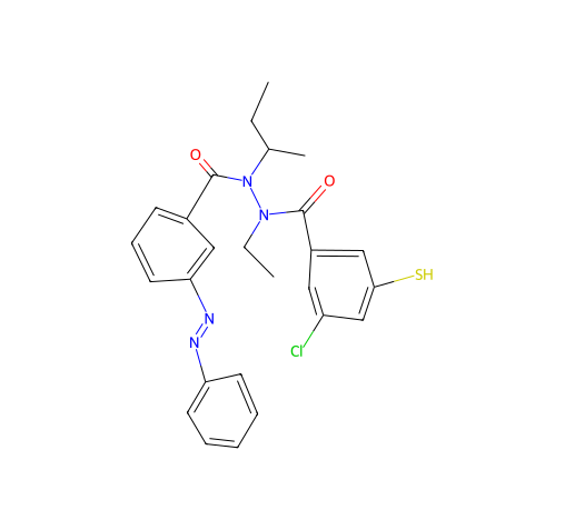 CCC(C)N(C(=O)c1cccc(N=Nc2ccccc2)c1)N(CC)C(=O)c1cc(S)cc(Cl)c1